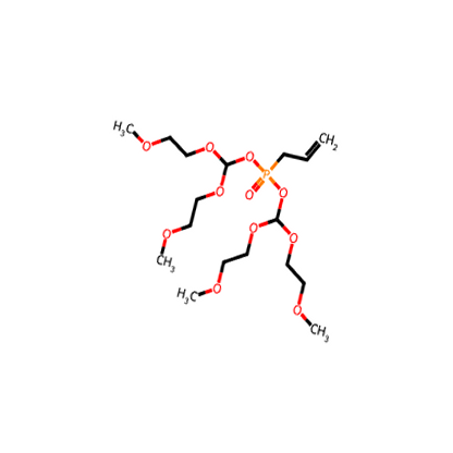 C=CCP(=O)(OC(OCCOC)OCCOC)OC(OCCOC)OCCOC